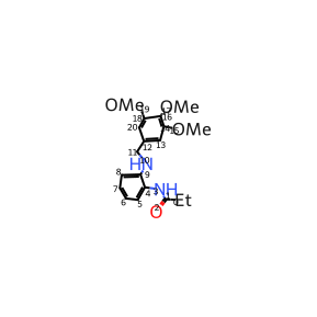 CCC(=O)Nc1ccccc1NCc1cc(OC)c(OC)c(OC)c1